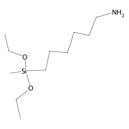 CCO[Si](C)(CCCCCCN)OCC